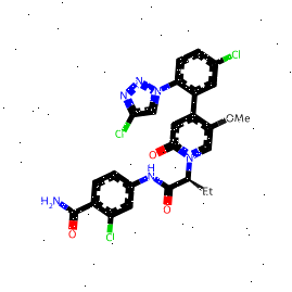 CC[C@@H](C(=O)Nc1ccc(C(N)=O)c(Cl)c1)n1cc(OC)c(-c2cc(Cl)ccc2-n2cc(Cl)nn2)cc1=O